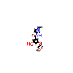 CCn1ccc(NC(=O)c2cc(O)cc(O[C@@H](C)COC)c2)n1